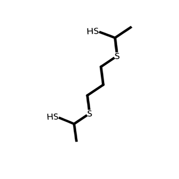 CC(S)SCCCSC(C)S